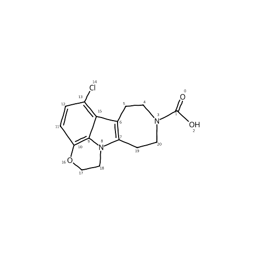 O=C(O)N1CCc2c(n3c4c(ccc(Cl)c24)OCC3)CC1